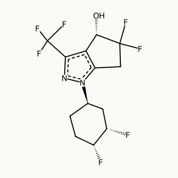 O[C@H]1c2c(C(F)(F)F)nn([C@@H]3CC[C@@H](F)[C@@H](F)C3)c2CC1(F)F